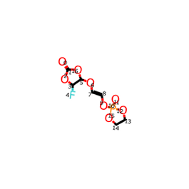 O=C1OC(F)C(O/C=C/OP2(=O)OCCO2)O1